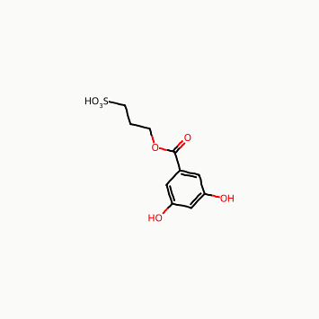 O=C(OCCCS(=O)(=O)O)c1cc(O)cc(O)c1